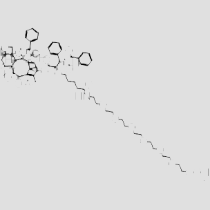 CC(=O)O[C@H]1C(=O)[C@@]2(C)[C@H]([C@H](OC(=O)c3ccccc3)[C@]3(O)C[C@H](OC(=O)[C@H](OC(=O)CCCC(=O)NCCOCCOCCOCCOCCOCCOCCC(=O)O)[C@@H](NC(=O)c4ccccc4)c4ccccc4)C(C)=C1C3(C)C)[C@]1(OC(C)=O)CO[C@@H]1C[C@@H]2O